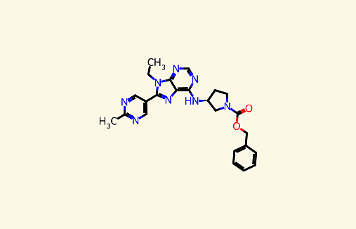 CCn1c(-c2cnc(C)nc2)nc2c(N[C@H]3CCN(C(=O)OCc4ccccc4)C3)ncnc21